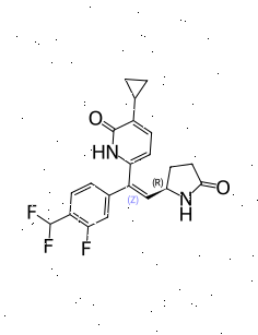 O=C1CC[C@H](/C=C(/c2ccc(C(F)F)c(F)c2)c2ccc(C3CC3)c(=O)[nH]2)N1